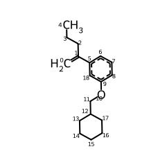 C=C(CCC)c1cccc(OCC2CCCCC2)c1